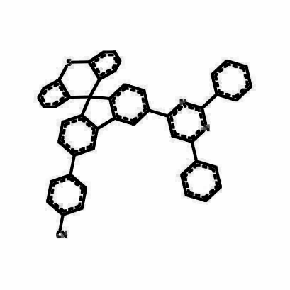 N#Cc1ccc(-c2ccc3c(c2)-c2cc(-c4cc(-c5ccccc5)nc(-c5ccccc5)n4)ccc2C32c3ccccc3Sc3ccccc32)cc1